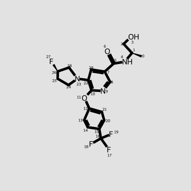 C[C@H](CO)NC(=O)c1cnc(Oc2ccc(C(F)(F)F)cc2)c(N2CC[C@@H](F)C2)c1